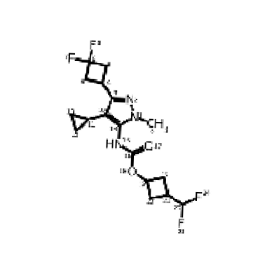 Cn1nc(C2CC(F)(F)C2)c(C2CC2)c1NC(=O)OC1CC(C(F)F)C1